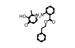 Cc1occc(=O)c1O.Nc1ccccc1C(=O)OCCc1ccccc1